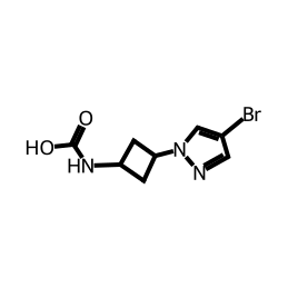 O=C(O)NC1CC(n2cc(Br)cn2)C1